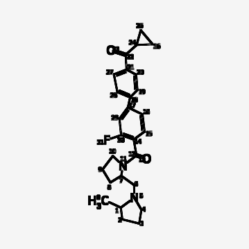 CC1CCCN1CC1CCCN1C(=O)c1ccc(-c2ccc(C(=O)C3CC3)cc2)cc1F